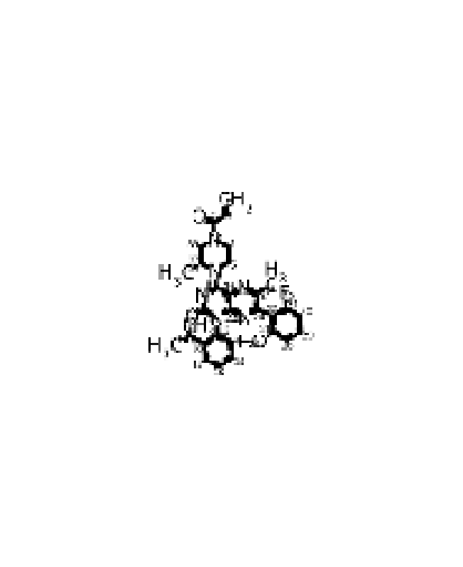 C=CC(=O)N1CCN(c2nc(=O)n(-c3ccccc3C(C)C)c3nc(-c4c(O)cccc4F)c(C)nc23)[C@@H](C)C1